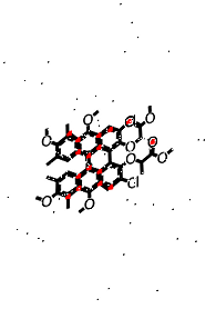 COC(=O)C(C)Oc1c(Cl)ccc(P(c2cc(C)c(OC)c(C)c2)c2cc(C)c(OC)c(C)c2)c1-c1c(P(c2cc(C)c(OC)c(C)c2)c2cc(C)c(OC)c(C)c2)ccc(Cl)c1O[C@@H](C)C(=O)OC